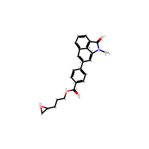 CN1C(=O)c2cccc3cc(-c4ccc(C(=O)OCCCC5CO5)cc4)cc1c23